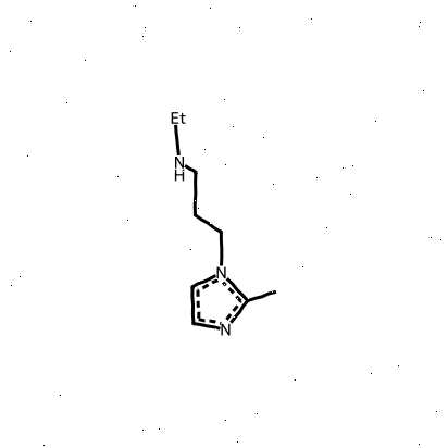 CCNCCCn1ccnc1C